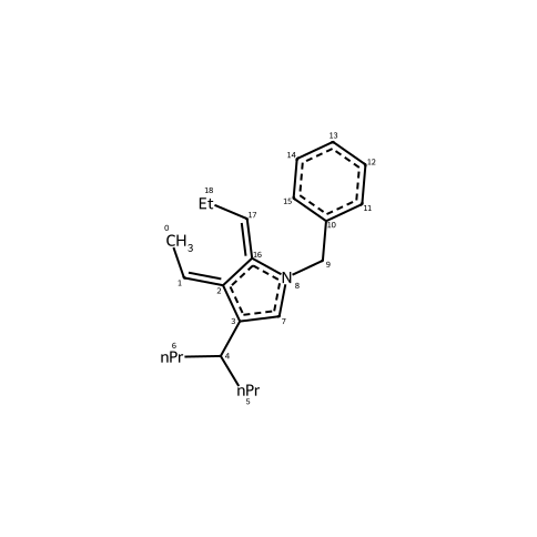 C/C=c1/c(C(CCC)CCC)cn(Cc2ccccc2)/c1=C/CC